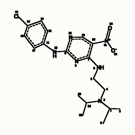 CC(C)N(CCNc1nc(Nc2ccc(Cl)cc2)ncc1[N+](=O)[O-])C(C)C